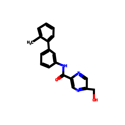 Cc1ccccc1-c1cccc(NC(=O)c2cnc(CO)cn2)c1